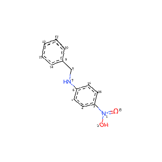 O=[N+](O)c1ccc(NCc2ccccc2)cc1